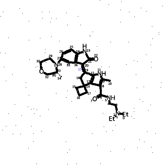 CCN(CC)CCNC(=O)c1c(C)[nH]c2c1C1(CCC1)C/C2=C1/C(=O)Nc2ccc(N3CCOC[C@H]3C)cc21